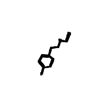 O=COCCc1ccc(F)cc1